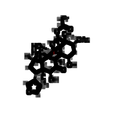 CC(=O)O[C@@H]1C[C@H](O)[C@@]23CO[C@@H](OC(=O)C(C)C)[C@@]1(C)[C@@H]2C[C@@H](O)[C@]1(C)[C@@H]3C(=O)[C@H](O)[C@@]2(C)[C@H](c3ccoc3)C[C@H]3O[C@]321